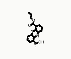 C=CCOC(=O)c1cccc2nc3c([C@@H](C)O)cccc3nc12